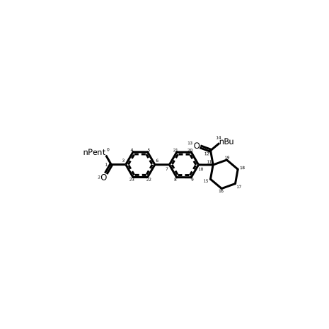 CCCCCC(=O)c1ccc(-c2ccc(C3(C(=O)CCCC)CCCCC3)cc2)cc1